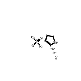 C1=CNCC1.O=P([O-])([O-])[O-].[K+].[K+].[K+]